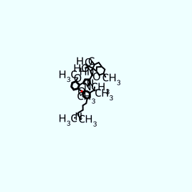 COc1cccc(OC)c1-c1cc(C(=O)NC2(C(=O)O)C(C)CC3CC(C)CC2C3)nn1-c1ccc(CCCCN(C)C)cc1C(C)C